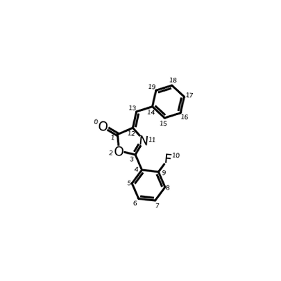 O=C1OC(c2ccccc2F)=N/C1=C\c1ccccc1